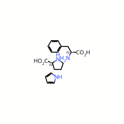 N[C@@H](Cc1ccccc1)C(=O)O.O=C(O)[C@@H]1CCCN1.c1cc[nH]c1